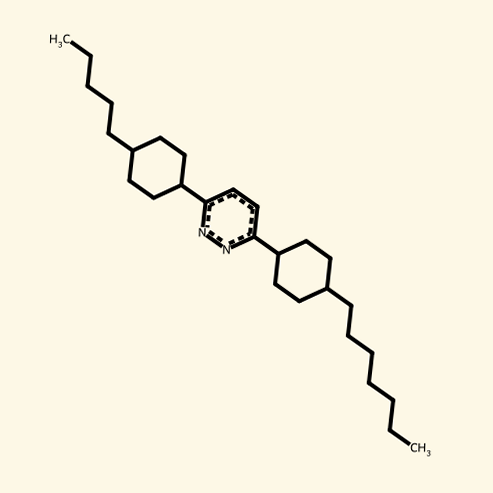 CCCCCCCC1CCC(c2ccc(C3CCC(CCCCC)CC3)nn2)CC1